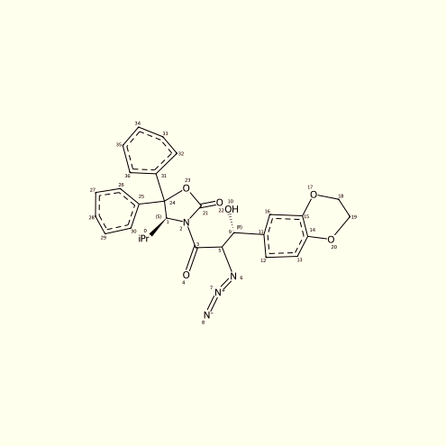 CC(C)[C@@H]1N(C(=O)C(N=[N+]=[N-])[C@H](O)c2ccc3c(c2)OCCO3)C(=O)OC1(c1ccccc1)c1ccccc1